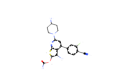 N#Cc1ccc(-c2cc(N3CCC(N)CC3)nc3sc(OC(N)=O)c(N)c23)cc1F